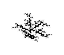 Cc1cc2nc3c(=O)[nH]c(=O)nc-3n(CC(OCC(CCCCNC(=O)OC(C)(C)C)NC(=O)OC(C)(C)C)C(OCC(CCCCNC(=O)OC(C)(C)C)NC(=O)OC(C)(C)C)C(COC(=O)C(CCCCNC(=O)OC(C)(C)C)NC(=O)OC(C)(C)C)OCC(CCCCNC(=O)OC(C)(C)C)NC(=O)OC(C)(C)C)c2cc1C